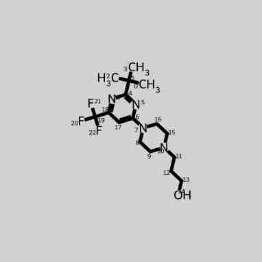 CC(C)(C)c1nc(N2CCN(CCCO)CC2)cc(C(F)(F)F)n1